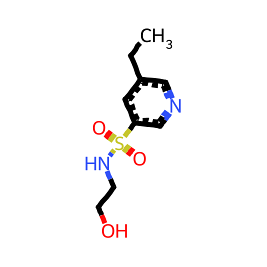 CCc1cncc(S(=O)(=O)NCCO)c1